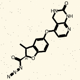 CC1c2cc(Oc3ccnc4c3CNC(=O)N4)ccc2O[C@H]1C(=O)N=[N+]=[N-]